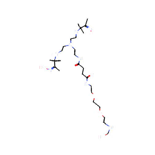 C/C(=N/O)C(C)(C)NCCN(CCNC(=O)CCC(=O)NCCOCCOCCN[C@H](C)O)CCNC(C)(C)/C(C)=N\O